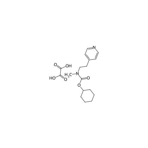 CN(CCc1ccncc1)C(=O)OC1CCCCC1.O=C(O)C(=O)O